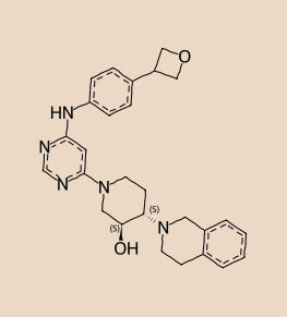 O[C@H]1CN(c2cc(Nc3ccc(C4COC4)cc3)ncn2)CC[C@@H]1N1CCc2ccccc2C1